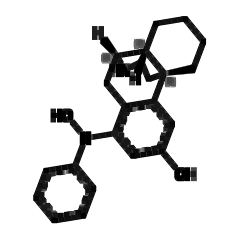 Oc1cc(N(O)c2ccccc2)c2c(c1)[C@@]13CCCC[C@H]1[C@@H](C2)NCC3